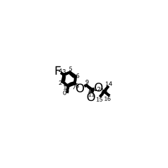 Cc1cc(F)ccc1OCC(=O)OC(C)(C)C